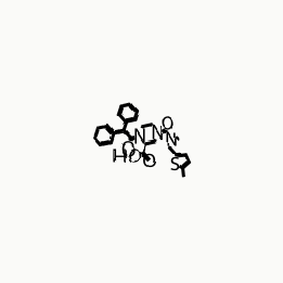 Cc1ccc(CN(C)C(=O)N2CCN(C(=O)C(c3ccccc3)c3ccccc3)[C@H](C(=O)O)C2)s1